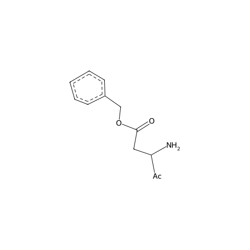 CC(=O)C(N)CC(=O)OCc1ccccc1